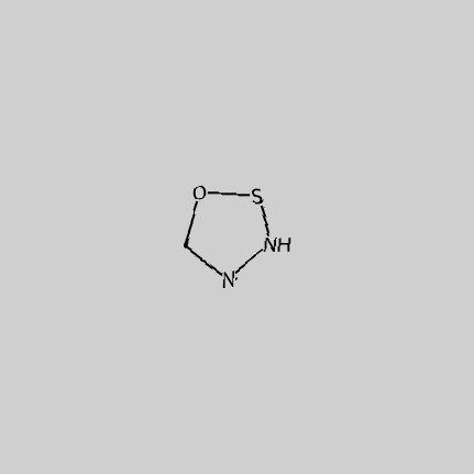 C1[N]NSO1